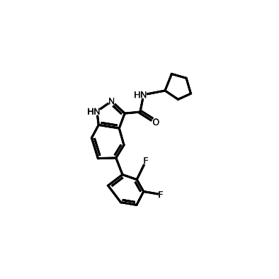 O=C(NC1CCCC1)c1n[nH]c2ccc(-c3cccc(F)c3F)cc12